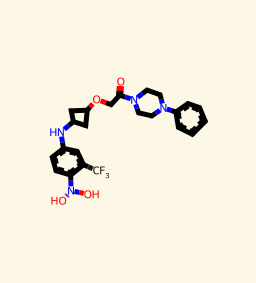 O=C(COC1CC(Nc2ccc(N(O)O)c(C(F)(F)F)c2)C1)N1CCN(c2ccccc2)CC1